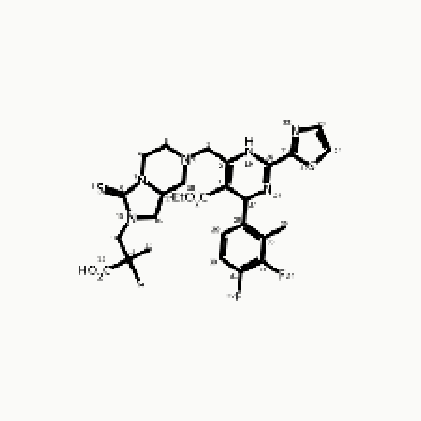 CCOC(=O)C1=C(CN2CCN3C(=S)N(CC(C)(C)C(=O)O)CC3C2)NC(c2nccs2)=NC1c1ccc(F)c(F)c1C